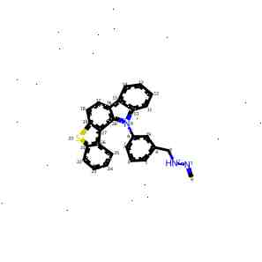 C=NNCc1cccc(-n2c3ccccc3c3ccc4sc5ccccc5c4c32)c1